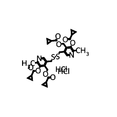 Cc1ncc(CSSCc2cnc(C)c(OC(=O)C3CC3)c2COC(=O)C2CC2)c(COC(=O)C2CC2)c1OC(=O)C1CC1.Cl.Cl